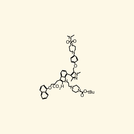 Cc1nn(C)c(COc2ccc(N3CCN(S(=O)(=O)N(C)C)CC3)cc2)c1-c1cccc2c(CCCOc3cccc4ccccc34)c(C(=O)O)n(CCN3CCN(C(=O)OC(C)(C)C)CC3)c12